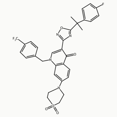 CC(C)(c1ccc(F)cc1)c1nc(-c2cn(Cc3ccc(C(F)(F)F)cc3)c3cc(N4CCS(=O)(=O)CC4)ccc3c2=O)no1